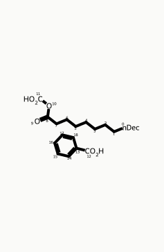 CCCCCCCCCCCCCCCCCC(=O)OC(=O)O.O=C(O)c1ccccc1